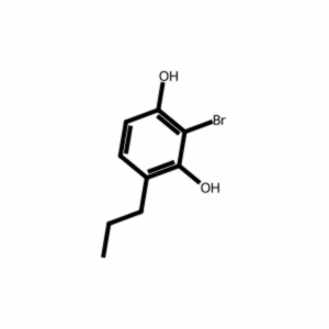 CCCc1ccc(O)c(Br)c1O